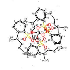 CCCCCCCCCCCCC(c1ccccc1S(=O)(=O)[O][Ti]([O]S(=O)(=O)c1ccccc1C(CCCCCCCCCCCC)C(C)C)([O]S(=O)(=O)c1ccccc1C(CCCCCCCCCCCC)C(C)C)[O]S(=O)(=O)c1ccccc1C(CCCCCCCCCCCC)C(C)C)C(C)C